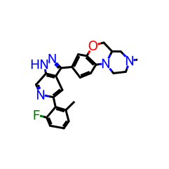 Cc1cccc(F)c1-c1cc2c(-c3ccc4c(c3)OCC3CN(C)CCN43)n[nH]c2cn1